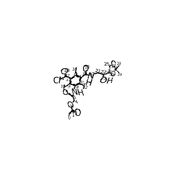 CC(=O)OCC(=O)Nc1c(I)c(C(=O)Cl)c(I)c(C(=O)NCC(O)C2COC(C)(C)O2)c1I